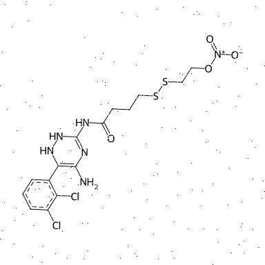 NC1=C(c2cccc(Cl)c2Cl)NNC(NC(=O)CCCSSCCO[N+](=O)[O-])=N1